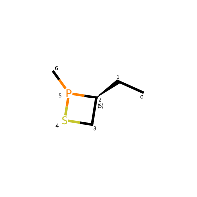 CC[C@H]1CSP1C